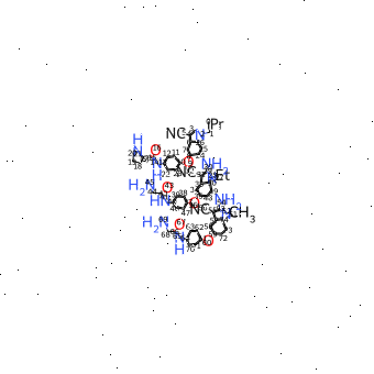 CC(C)Cn1cc(C#N)c2cc(Oc3ccc(NC(=O)[C@@H]4CCCN4)cc3)ccc21.CCn1c(N)c(C#N)c2cc(Oc3ccc(NC(=O)CN)cc3)ccc21.Cn1c(N)c(C#N)c2cc(Oc3ccc(NC(=O)CN)cc3)ccc21